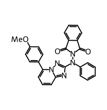 COc1ccc(-c2cccc3nc(N(c4ccccc4)N4C(=O)c5ccccc5C4=O)nn23)cc1